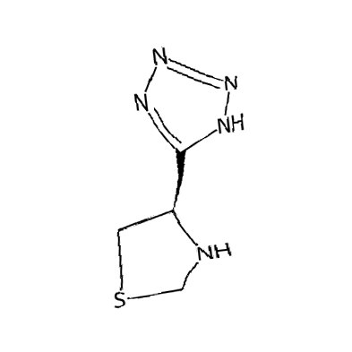 C1N[C@H](c2nnn[nH]2)CS1